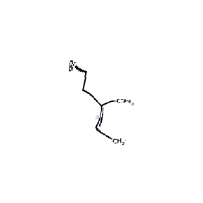 [CH2]/C=C(\C)CCBr